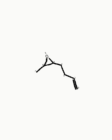 C=CCCC1OC1C